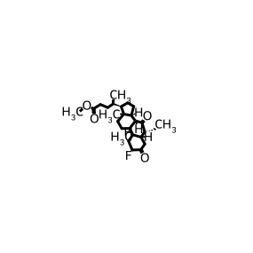 CC[C@H]1C(=O)[C@@H]2[C@H](CC[C@]3(C)[C@@H](C(C)CCC(=O)OC)CC[C@@H]23)[C@@]2(C)C[C@H](F)C(=O)C[C@@H]12